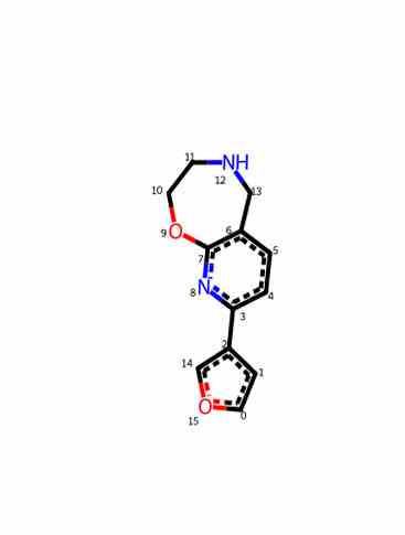 c1cc(-c2ccc3c(n2)OCCNC3)co1